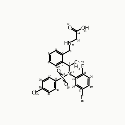 C[C@H](c1ccccc1CNCC(=O)O)N(c1cc(F)ccc1F)S(=O)(=O)c1ccc(Cl)cc1